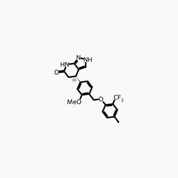 COc1cc([C@@H]2CC(=O)Nc3n[nH]cc32)ccc1COc1ccc(C)cc1C(F)(F)F